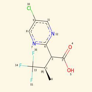 C[C@H](C(C(=O)O)c1ncc(Cl)cn1)C(F)(F)F